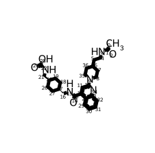 CC(=O)NCCC1CCN(c2cc(C(=O)NC[C@H]3CC[C@H](CNC(=O)O)CC3)c3ccccc3n2)CC1